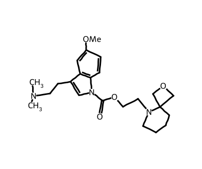 COc1ccc2c(c1)c(CCN(C)C)cn2C(=O)OCCN1CCCCC12COC2